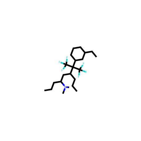 CCCC(CC(CCC)C(C1CCCC(CC)C1)(C(F)(F)F)C(F)(F)F)N(C)C